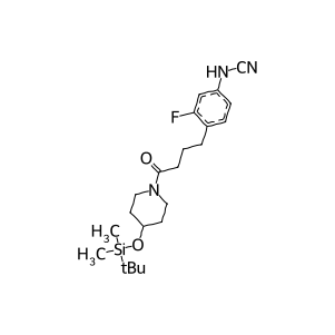 CC(C)(C)[Si](C)(C)OC1CCN(C(=O)CCCc2ccc(NC#N)cc2F)CC1